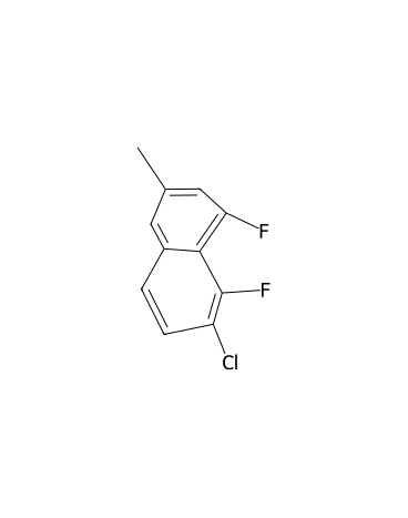 Cc1cc(F)c2c(F)c(Cl)ccc2c1